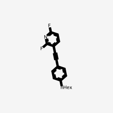 CCCCCCc1ccc(C#Cc2ccc(F)nc2F)cc1